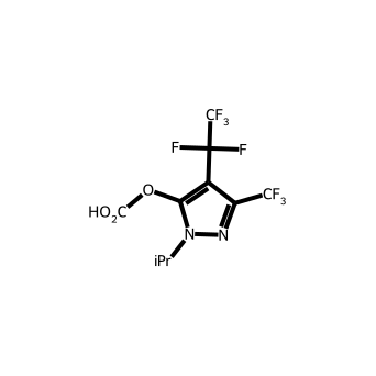 CC(C)n1nc(C(F)(F)F)c(C(F)(F)C(F)(F)F)c1OC(=O)O